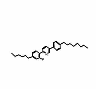 CCCCCCCCc1ccc(-c2ccc(-c3ccc(CCCCCC)cc3F)nc2)cc1